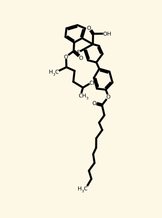 CCCCCCCCCCC(=O)Oc1ccc(C2C=CC(C(=O)O)(c3ccccc3C(=O)OC(C)CCC(C)C)C(F)=C2)cc1